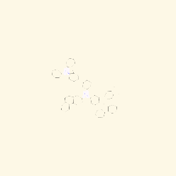 CC1(C)CC(C)(C)c2cc3c(cc21)-c1cc(N(c2cccc(-c4ccc5c(c4)c4ccccc4n5-c4ccccc4)c2)c2ccc4c(ccc5ccccc54)c2)ccc1C3(c1ccccc1)c1ccccc1